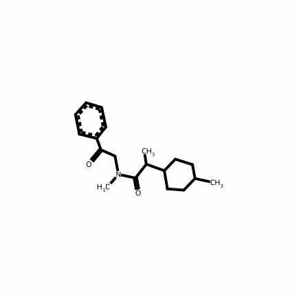 CC1CCC(C(C)C(=O)N(C)CC(=O)c2ccccc2)CC1